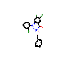 O=C(NOCc1ccccc1)c1cc(F)c(F)cc1Nc1ccccc1F